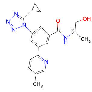 Cc1ccc(-c2cc(C(=O)N[C@@H](C)CO)cc(-n3nnnc3C3CC3)c2)nc1